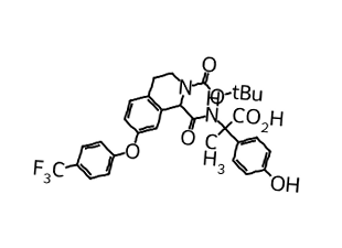 CC(C)(C)OC(=O)N1CCc2ccc(Oc3ccc(C(F)(F)F)cc3)cc2C1C(=O)NC(C)(C(=O)O)c1ccc(O)cc1